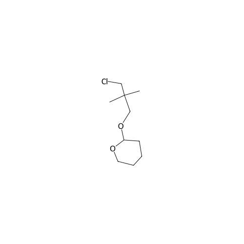 CC(C)(CCl)COC1CCCCO1